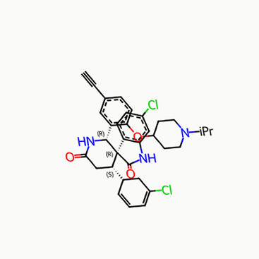 C#Cc1ccc(OC2CCN(C(C)C)CC2)c([C@H]2NC(=O)C[C@@H](C3C=CC=C(Cl)C3)[C@]23C(=O)Nc2cc(Cl)ccc23)c1